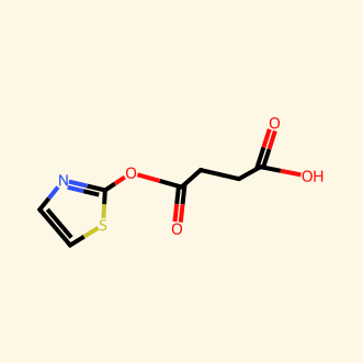 O=C(O)CCC(=O)Oc1nccs1